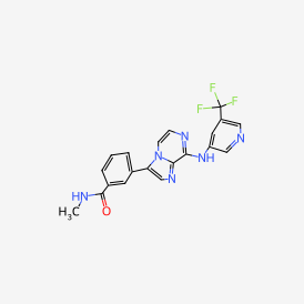 CNC(=O)c1cccc(-c2cnc3c(Nc4cncc(C(F)(F)F)c4)nccn23)c1